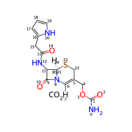 NC(=O)OCC1=C(C(=O)O)N2C(=O)C(NC(=O)Cc3ccc[nH]3)[C@H]2SC1